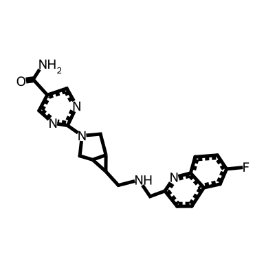 NC(=O)c1cnc(N2CC3C(CNCc4ccc5cc(F)ccc5n4)C3C2)nc1